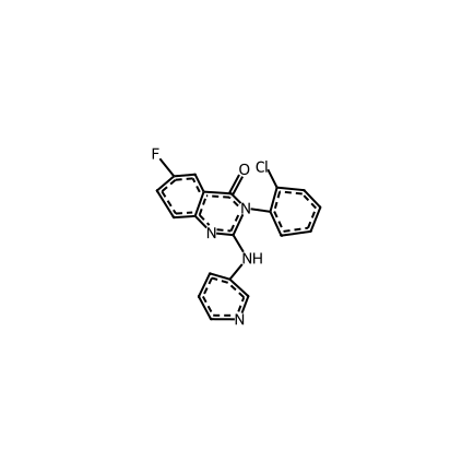 O=c1c2cc(F)ccc2nc(Nc2cccnc2)n1-c1ccccc1Cl